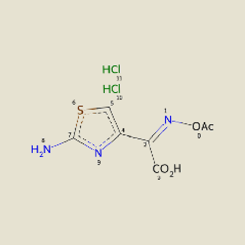 CC(=O)ON=C(C(=O)O)c1csc(N)n1.Cl.Cl